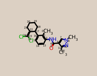 Cc1c(NC(=O)c2cn(C)nc2C(F)(F)F)cccc1C1CCCCC1=C(Cl)Cl